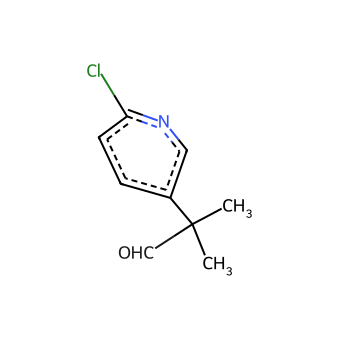 CC(C)(C=O)c1ccc(Cl)nc1